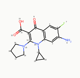 Nc1cc2c(cc1F)c(=O)c(C(=O)O)c(N1CCCC1)n2C1CC1